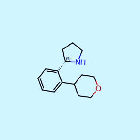 c1ccc([C@@H]2CCCN2)c(C2CCOCC2)c1